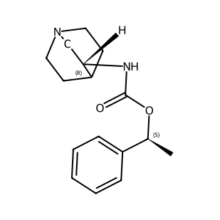 C[C@H](OC(=O)N[C@H]1CN2CCC1CC2)c1ccccc1